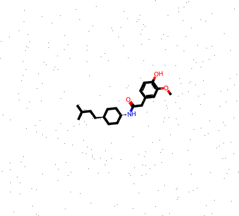 COc1cc(CC(=O)N[C@H]2CC[C@H](CCC(C)C)CC2)ccc1O